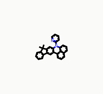 CC1(C)c2ccccc2-c2cc3c(cc21)N(c1ccccn1)c1cccc2cccc-3c12